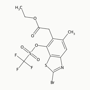 CCOC(=O)Cc1c(C)cc2nc(Br)sc2c1OS(=O)(=O)C(F)(F)F